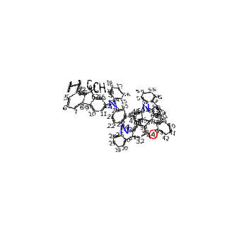 CC1(C)c2ccccc2-c2ccc(N(c3ccccc3)c3ccc(-n4c5ccccc5c5cc6c(cc54)C4(c5ccccc5O6)c5ccccc5-n5c6ccccc6c6cccc4c65)cc3)cc21